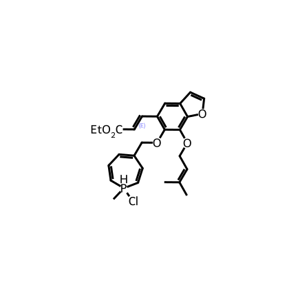 CCOC(=O)/C=C/c1cc2ccoc2c(OCC=C(C)C)c1OCC1=CC=C[PH](C)(Cl)C=C1